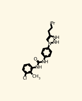 Cc1c(Cl)cccc1NC(=O)Nc1ccc(N2C=C(CCC(C)C)NN2)cc1